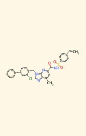 C=Cc1ccc(S(=O)(=O)NC(=O)c2cc(C)c3ncn(Cc4ccc(-c5ccccc5)cc4Cl)c3n2)cc1